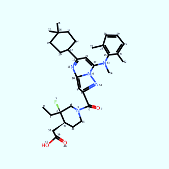 CC[C@]1(F)CN(C(=O)c2cc3nc(C4CCC(C)(C)CC4)cc(N(C)c4c(C)cccc4C)n3n2)CC[C@H]1CC(=O)O